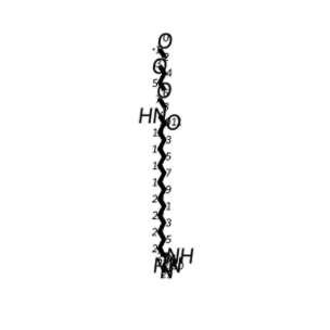 O=[C]COCCOCCNC(=O)CCCCCCCCCCCCCCCc1nnn[nH]1